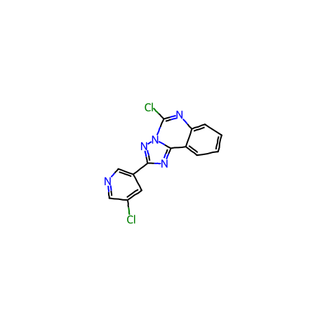 Clc1cncc(-c2nc3c4ccccc4nc(Cl)n3n2)c1